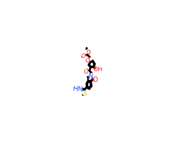 CCOC(=O)COc1ccc(O)c(C(=O)CN2Cc3cc(C(=N)SC)ccc3C2=O)c1